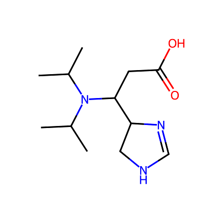 CC(C)N(C(C)C)C(CC(=O)O)C1CNC=N1